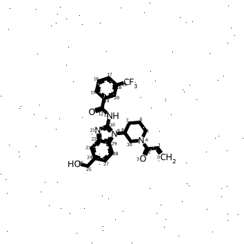 C=CC(=O)N1CCCC(n2c(NC(=O)c3cccc(C(F)(F)F)c3)nc3cc(CO)ccc32)C1